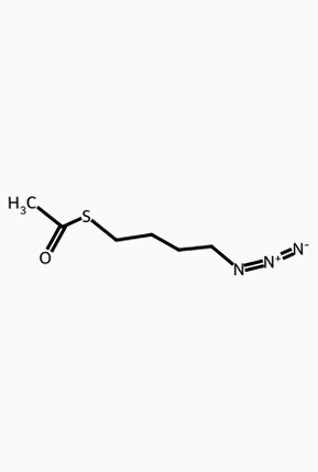 CC(=O)SCCCCN=[N+]=[N-]